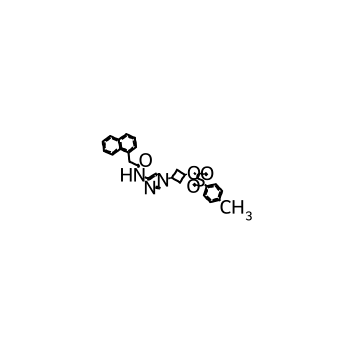 Cc1ccc(S(=O)(=O)O[C@H]2C[C@H](n3cnc(NC(=O)Cc4cccc5ccccc45)c3)C2)cc1